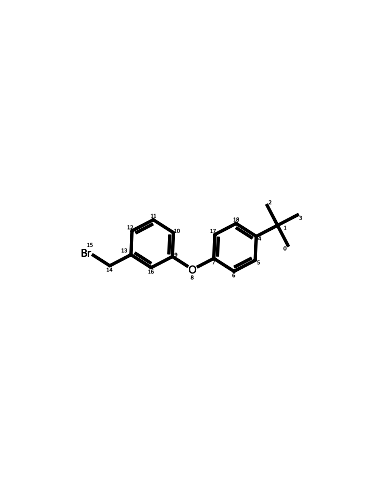 CC(C)(C)c1ccc(Oc2cccc(CBr)c2)cc1